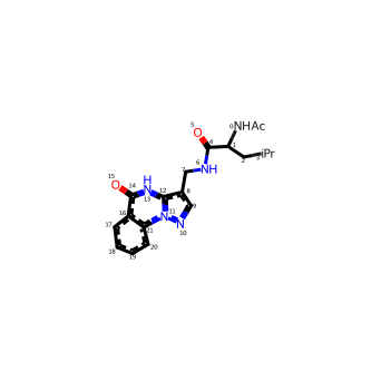 CC(=O)NC(CC(C)C)C(=O)NCc1cnn2c1[nH]c(=O)c1ccccc12